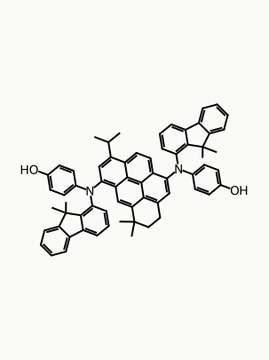 CC(C)c1cc(N(c2ccc(O)cc2)c2cccc3c2C(C)(C)c2ccccc2-3)c2cc3c4c(cc(N(c5ccc(O)cc5)c5cccc6c5C(C)(C)c5ccccc5-6)c5ccc1c2c54)CCC3(C)C